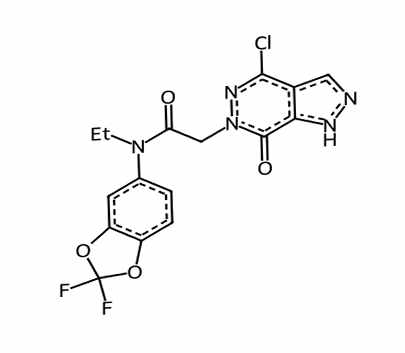 CCN(C(=O)Cn1nc(Cl)c2cn[nH]c2c1=O)c1ccc2c(c1)OC(F)(F)O2